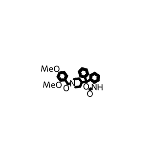 COc1ccc(C(=O)N2CCC(C3(c4ccccc4)OC(=O)Nc4ccccc43)CC2)c(OC)c1